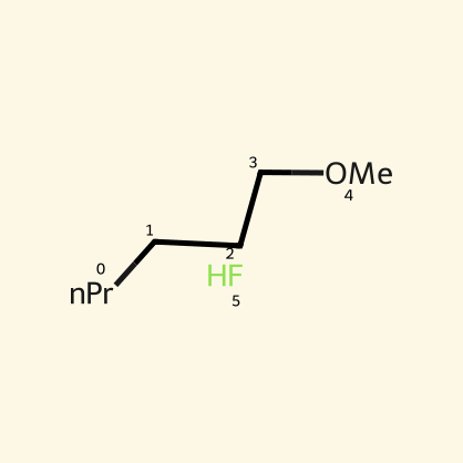 CCCCCCOC.F